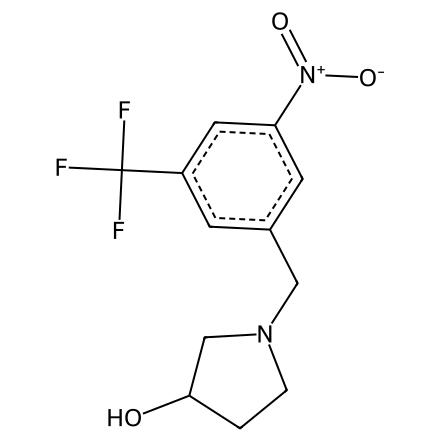 O=[N+]([O-])c1cc(CN2CCC(O)C2)cc(C(F)(F)F)c1